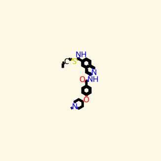 CC=C=CSC(=N)c1ccc2cnc(NC(=O)c3ccc(OC4CCN(C)CC4)cc3)cc2c1